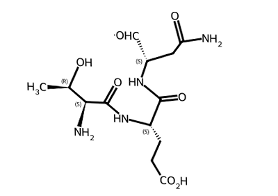 C[C@@H](O)[C@H](N)C(=O)N[C@@H](CCC(=O)O)C(=O)N[C@H]([C]=O)CC(N)=O